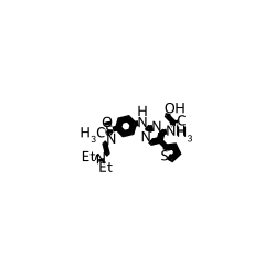 CCN(CC)CCN=S(C)(=O)c1ccc(Nc2ncc(-c3cccs3)c(N[C@H](C)CO)n2)cc1